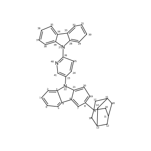 c1ccc2c(c1)c1cc(C34CC5CC(CC(C5)C3)C4)ccc1n2-c1ccc(-n2c3ccccc3c3ccccc32)nc1